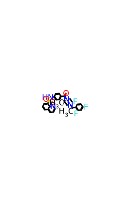 CC(c1c(F)cc(F)cc1F)N1CCN(C(=O)c2ccc(NS(=O)(=O)c3cccc4cccnc34)cc2)[C@H](C)C1